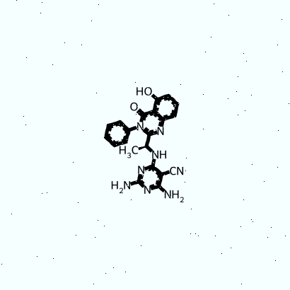 C[C@H](Nc1nc(N)nc(N)c1C#N)c1nc2cccc(O)c2c(=O)n1-c1ccccc1